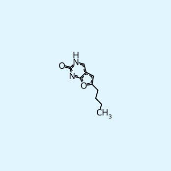 CCCCc1cc2c[nH]c(=O)nc2o1